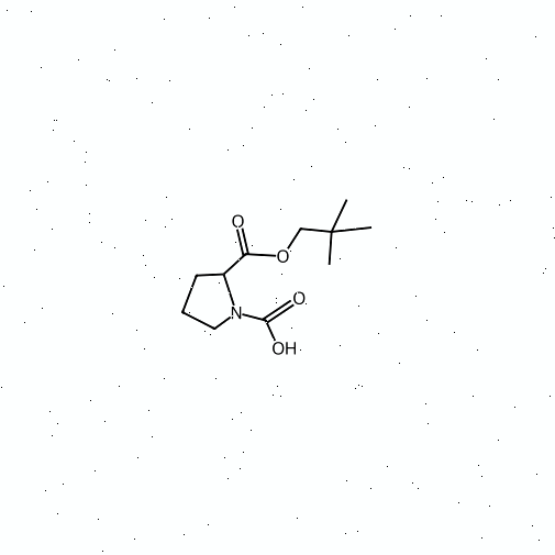 CC(C)(C)COC(=O)C1CCCN1C(=O)O